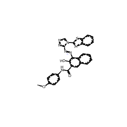 COc1ccc(NC(=O)c2cc3ccccc3c(/N=N/c3nncn3-c3nc4ccccc4s3)c2O)cc1